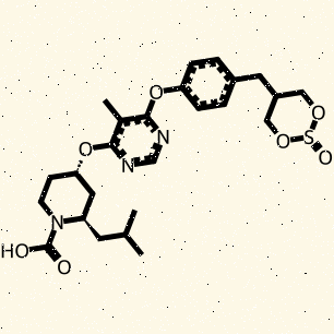 Cc1c(Oc2ccc(CC3COS(=O)OC3)cc2)ncnc1O[C@H]1CCN(C(=O)O)[C@H](CC(C)C)C1